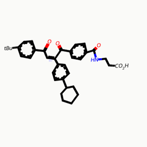 CC(C)(C)c1ccc(C(=O)/C=C(\C(=O)c2ccc(C(=O)NCCC(=O)O)cc2)c2ccc(C3CCCCC3)cc2)cc1